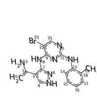 C=C(N)c1c[nH]nc1Nc1nc(Nc2ccccc2C)ncc1Br